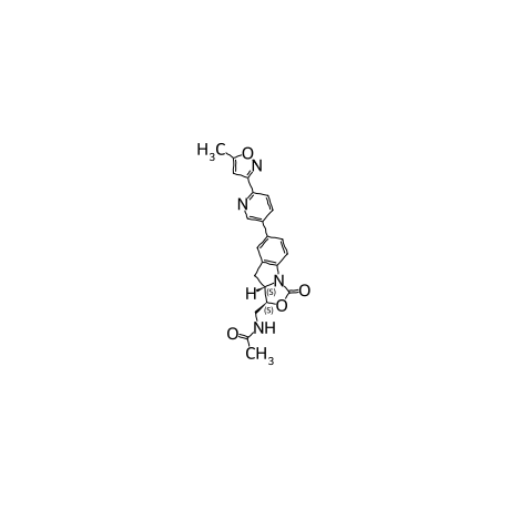 CC(=O)NC[C@@H]1OC(=O)N2c3ccc(-c4ccc(-c5cc(C)on5)nc4)cc3C[C@@H]12